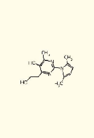 Cc1nc(-n2c(C)ccc2C)nc(CCO)c1O